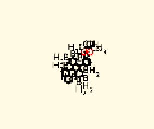 Bc1c(B)c(B)c2c(-c3cccc4ccccc34)c3c(B)c(B)c(B)c(B)c3c(-c3cccc(B4OC(C)(C)C(C)(C)O4)c3)c2c1B